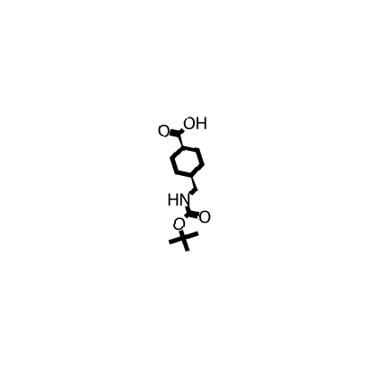 CC(C)(C)OC(=O)NC[C@H]1CC[C@@H](C(=O)O)CC1